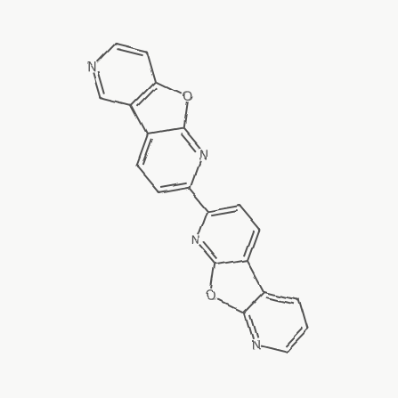 c1cnc2oc3nc(-c4ccc5c(n4)oc4ccncc45)ccc3c2c1